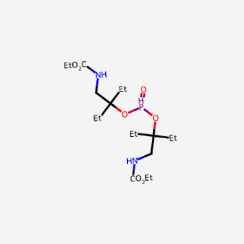 CCOC(=O)NCC(CC)(CC)O[PH](=O)OC(CC)(CC)CNC(=O)OCC